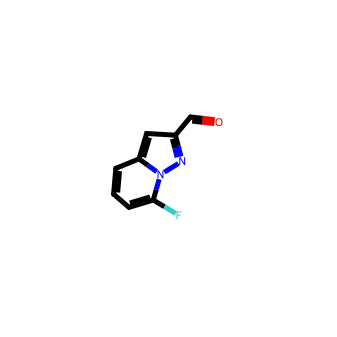 O=Cc1cc2cccc(F)n2n1